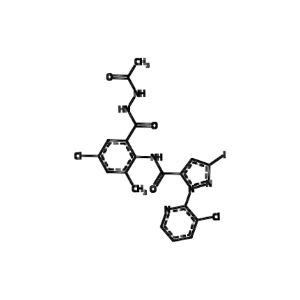 CC(=O)NNC(=O)c1cc(Cl)cc(C)c1NC(=O)c1cc(I)nn1-c1ncccc1Cl